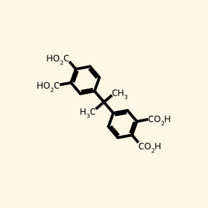 CC(C)(c1ccc(C(=O)O)c(C(=O)O)c1)c1ccc(C(=O)O)c(C(=O)O)c1